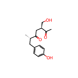 CC(=O)[C@H](CO)CC(=O)[C@@H](C)Cc1ccc(O)cc1